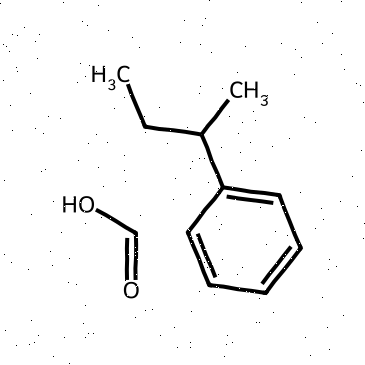 CCC(C)c1ccccc1.O=CO